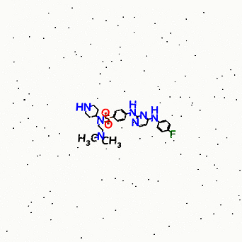 CN(C)CCN(C1CCNCC1)S(=O)(=O)c1ccc(Nc2nccc(Nc3ccc(F)cc3)n2)cc1